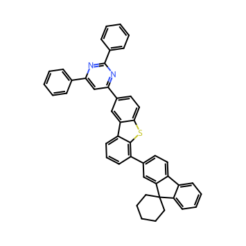 c1ccc(-c2cc(-c3ccc4sc5c(-c6ccc7c(c6)C6(CCCCC6)c6ccccc6-7)cccc5c4c3)nc(-c3ccccc3)n2)cc1